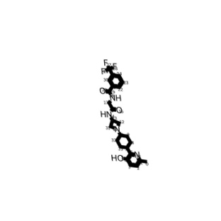 Cc1ccc(O)c(C2CCC(N3CC(NC(=O)CNC(=O)c4cccc(C(F)(F)F)c4)C3)CC2)n1